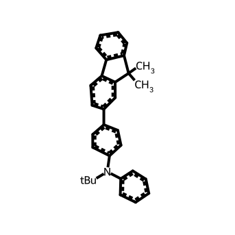 CC1(C)c2ccccc2-c2ccc(-c3ccc(N(c4ccccc4)C(C)(C)C)cc3)cc21